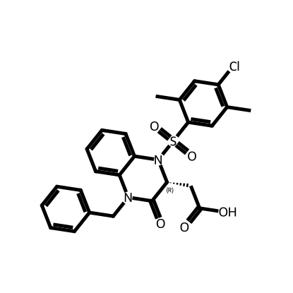 Cc1cc(S(=O)(=O)N2c3ccccc3N(Cc3ccccc3)C(=O)[C@H]2CC(=O)O)c(C)cc1Cl